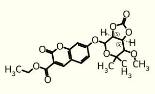 CCOC(=O)c1cc2ccc(OC3OC(C)(C)C(OC)[C@@H]4OC(=O)O[C@H]34)cc2oc1=O